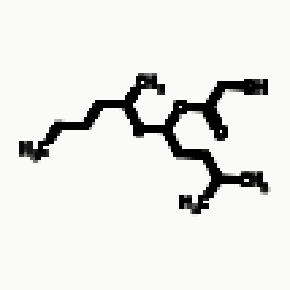 CCCCC(C)SC(CCC(C)C)OC(=O)CO